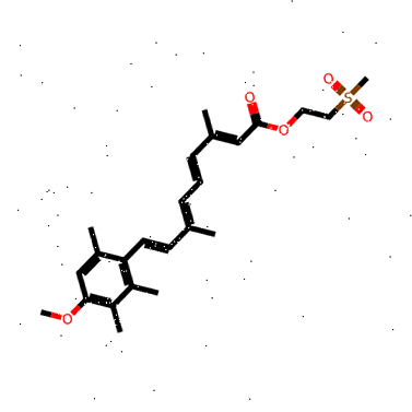 COc1cc(C)c(C=CC(C)=CC=CC(C)=CC(=O)OCCS(C)(=O)=O)c(C)c1C